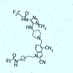 CCC(=O)NC12CC(CCn3c(C#N)cc4c(C)c(CN5CCC(Nc6c(NC(=O)CC(F)(F)F)ncn6C)CC5)ccc43)(C1)C2